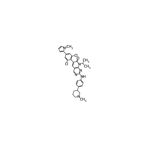 CC(C)n1c(=O)c(-c2c(Cl)cc(-c3cccn3C)cc2Cl)cc2cnc(Nc3ccc(C4CCCN(C)C4)cc3)nc21